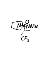 CNN1CC2CCC(C1)N2C(=O)C(C)CC(F)(F)F